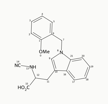 COc1ccccc1Cn1cc(CC(NC#N)C(=O)O)c2ccccc21